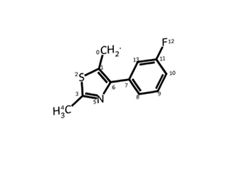 [CH2]c1sc(C)nc1-c1cccc(F)c1